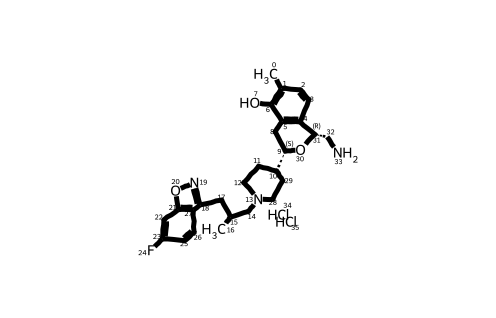 Cc1ccc2c(c1O)C[C@@H](C1CCN(CC(C)Cc3noc4cc(F)ccc34)CC1)O[C@H]2CN.Cl.Cl